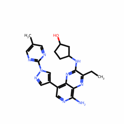 CCc1nc2c(N)ncc(-c3cnn(-c4ncc(C)cn4)c3)c2nc1NC1CCC(O)C1